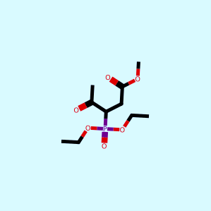 CCOP(=O)(OCC)C(CC(=O)OC)C(C)=O